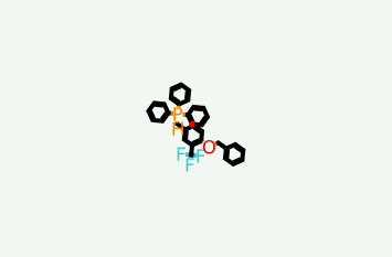 FC(F)(F)c1cc(C[PH](c2ccccc2)(c2ccccc2)c2ccccc2)ccc1OCc1ccccc1